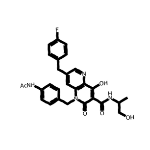 CC(=O)Nc1ccc(Cn2c(=O)c(C(=O)NC(C)CO)c(O)c3ncc(Cc4ccc(F)cc4)cc32)cc1